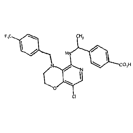 CC(Nc1ncc(Cl)c2c1N(Cc1ccc(C(F)(F)F)cc1)CCO2)c1ccc(C(=O)O)cc1